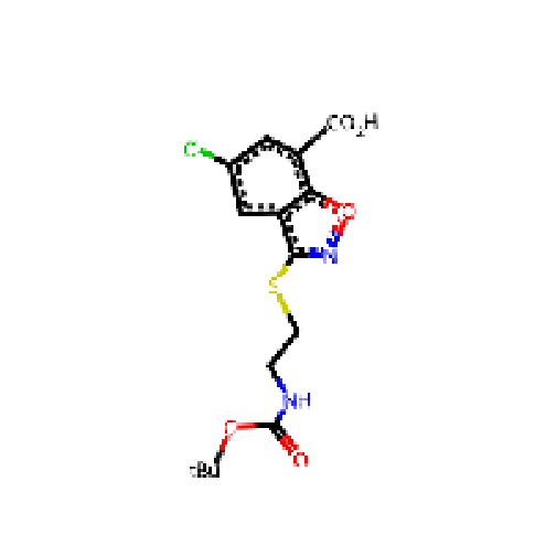 CC(C)(C)OC(=O)NCCSc1noc2c(C(=O)O)cc(Cl)cc12